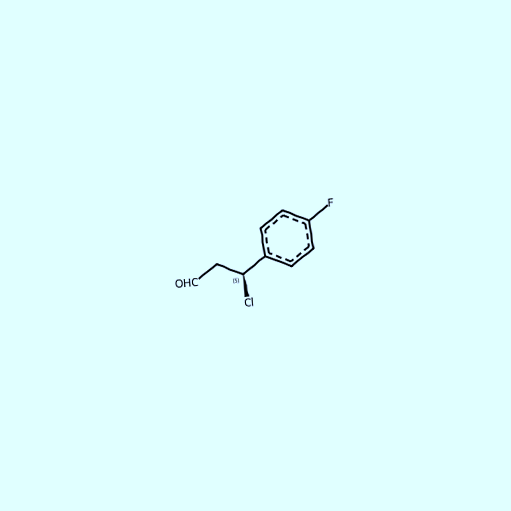 O=CC[C@H](Cl)c1ccc(F)cc1